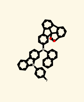 Fc1ccc(-n2c3ccccc3c3ccc(N(c4ccc5c(c4)C46c7ccccc7-c7cccc(c74)-c4cccc-5c46)c4cccc5ccccc45)cc32)cc1